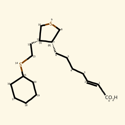 O=C(O)C=CCCCC[C@H]1CSC[C@H]1CCSC1CCCCC1